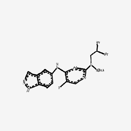 CCCCN(CC(C(C)C)C(C)C)c1ncc(F)c(Nc2ccc3[nH]ncc3c2)n1